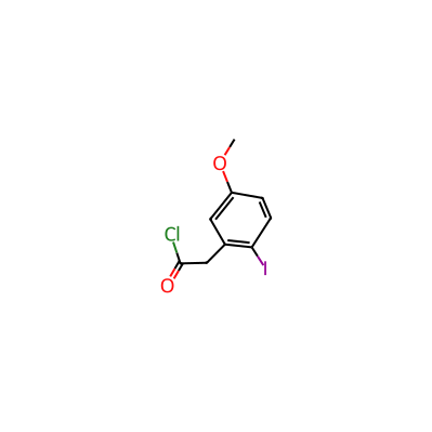 COc1ccc(I)c(CC(=O)Cl)c1